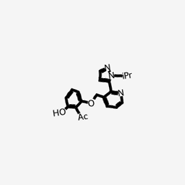 CC(=O)c1c(O)cccc1OCc1cccnc1-c1ccnn1C(C)C